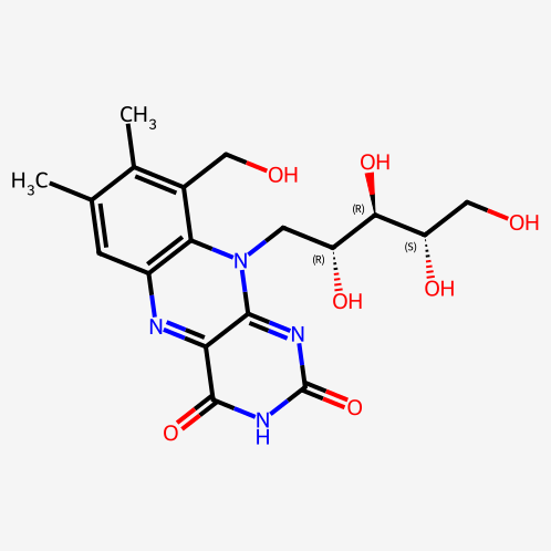 Cc1cc2nc3c(=O)[nH]c(=O)nc-3n(C[C@@H](O)[C@@H](O)[C@@H](O)CO)c2c(CO)c1C